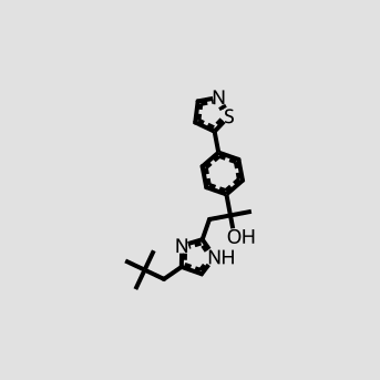 CC(C)(C)Cc1c[nH]c(CC(C)(O)c2ccc(-c3ccns3)cc2)n1